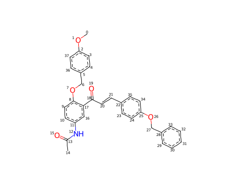 COc1ccc(COc2ccc(NC(C)=O)cc2C(=O)C=Cc2ccc(OCc3ccccc3)cc2)cc1